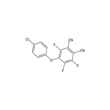 N#Cc1c(F)c(F)c(Oc2ccc(Cl)cc2)c(F)c1C#N